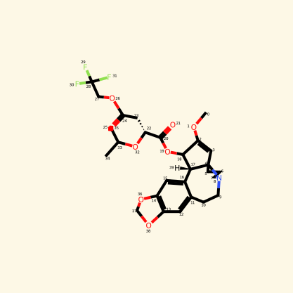 COC1=CC23CCCN2CCc2cc4c(cc2[C@@H]3C1OC(=O)[C@@H](CC(=O)OCC(F)(F)F)OC(C)C)OCO4